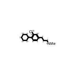 CNCCCc1ccc(C2CCCCC2)c(Cl)c1